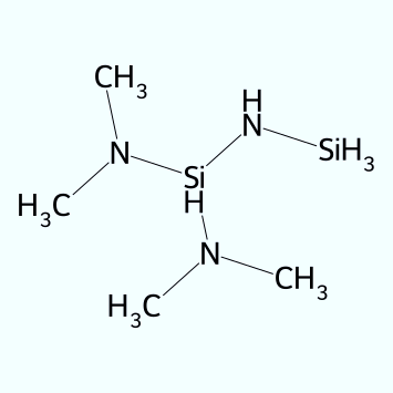 CN(C)[SiH](N[SiH3])N(C)C